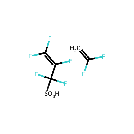 C=C(F)F.O=S(=O)(O)C(F)(F)C(F)=C(F)F